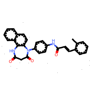 Cc1ccccc1C=CC(=O)Nc1ccc(N2C(=O)CC(=O)Nc3c2ccc2ccccc32)cc1